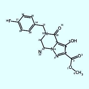 COC(=O)c1nn2c(c1O)C(=O)N(Cc1ccc(F)cc1)CC2.[N]